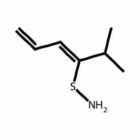 C=C/C=C(\SN)C(C)C